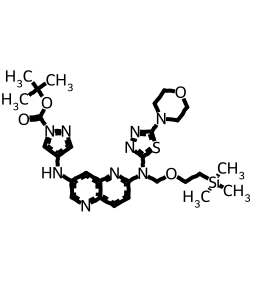 CC(C)(C)OC(=O)n1cc(Nc2cnc3ccc(N(COCC[Si](C)(C)C)c4nnc(N5CCOCC5)s4)nc3c2)cn1